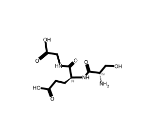 N[C@@H](CO)C(=O)N[C@@H](CCC(=O)O)C(=O)NCC(=O)O